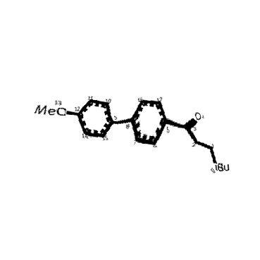 CCC(C)CCC(=O)c1ccc(-c2ccc(OC)cc2)cc1